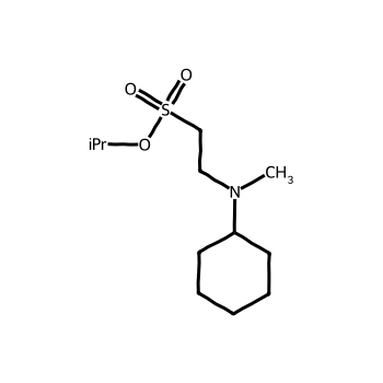 CC(C)OS(=O)(=O)CCN(C)C1CCCCC1